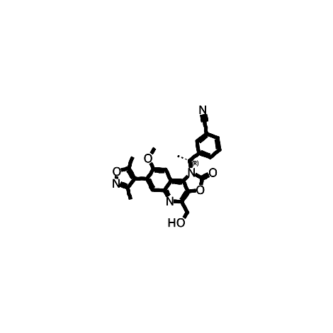 COc1cc2c(cc1-c1c(C)noc1C)nc(CO)c1oc(=O)n([C@H](C)c3cccc(C#N)c3)c12